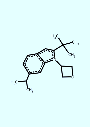 CC(C)c1ccc2cc(C(C)(C)C)n(C3COC3)c2c1